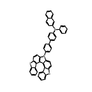 c1ccc(N(c2ccc(-c3ccc(-n4c5ccc6sc7ccccc7c6c5c5c6c(ccc54)sc4ccccc46)cc3)cc2)c2ccc3ccccc3c2)cc1